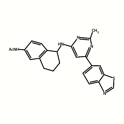 CC(=O)Nc1ccc2c(c1)CCCC2Nc1cc(-c2ccc3ncsc3c2)nc(C)n1